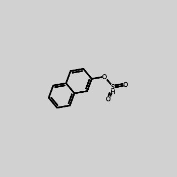 O=[SH](=O)Oc1ccc2ccccc2c1